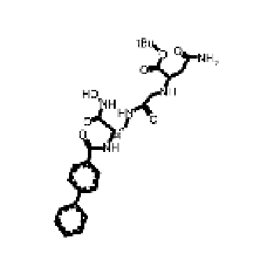 CC(C)(C)OC(=O)C(CC(N)=O)NCC(=O)NC[C@H](NC(=O)c1ccc(-c2ccccc2)cc1)C(=O)NO